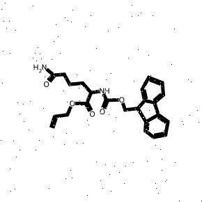 C=CCOC(=O)C(CCCC(N)=O)NC(=O)OCC1c2ccccc2-c2ccccc21